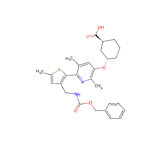 Cc1cc(CNC(=O)OCc2ccccc2)c(-c2nc(C)c(O[C@H]3CCC[C@H](C(=O)O)C3)cc2C)s1